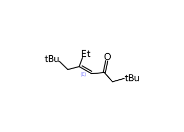 CC/C(=C\C(=O)CC(C)(C)C)CC(C)(C)C